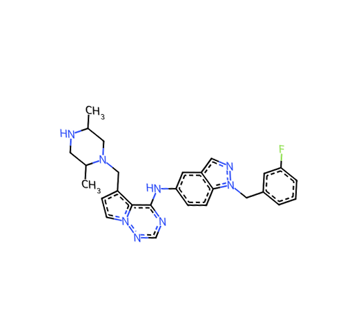 CC1CN(Cc2ccn3ncnc(Nc4ccc5c(cnn5Cc5cccc(F)c5)c4)c23)C(C)CN1